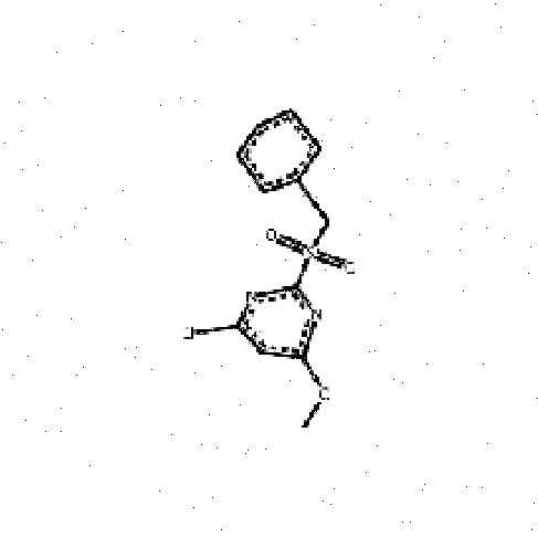 COc1cc(Cl)nc(S(=O)(=O)Cc2ccccc2)n1